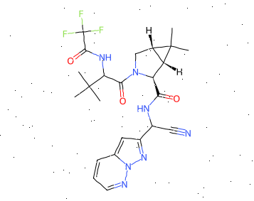 CC(C)(C)C(NC(=O)C(F)(F)F)C(=O)N1C[C@H]2[C@@H]([C@H]1C(=O)NC(C#N)c1cc3cccnn3n1)C2(C)C